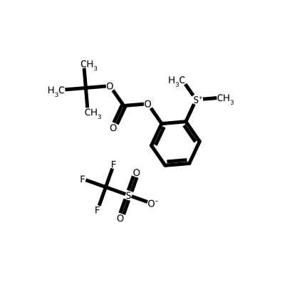 C[S+](C)c1ccccc1OC(=O)OC(C)(C)C.O=S(=O)([O-])C(F)(F)F